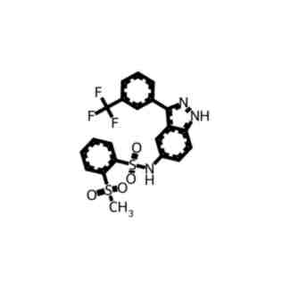 CS(=O)(=O)c1ccccc1S(=O)(=O)Nc1ccc2[nH]nc(-c3cccc(C(F)(F)F)c3)c2c1